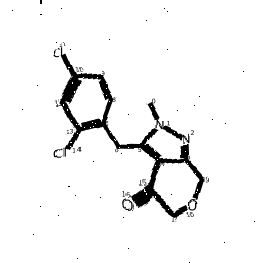 Cn1nc2c(c1Cc1ccc(Cl)cc1Cl)C(=O)COC2